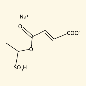 CC(OC(=O)C=CC(=O)[O-])S(=O)(=O)O.[Na+]